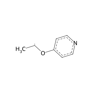 C[CH]Oc1ccncc1